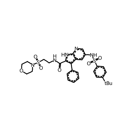 CC(C)(C)c1ccc(S(=O)(=O)Nc2cnc3[nH]c(C(=O)NCCS(=O)(=O)N4CCOCC4)c(-c4ccccc4)c3c2)cc1